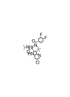 CC(C)NC(=O)C1=CN(C(=O)c2ccc(F)c(F)c2)CC(C)(C)c2c1[nH]c1cc(Cl)cnc21